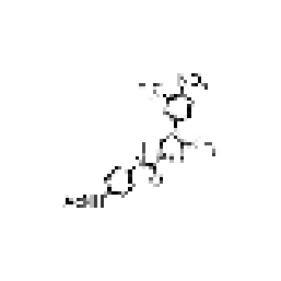 CC(=O)Nc1ccc(NC(=O)[C@@H]2CN(c3ccc([N+](=O)[O-])c(C(F)(F)F)c3)[C@@H](C(F)(F)F)O2)cc1